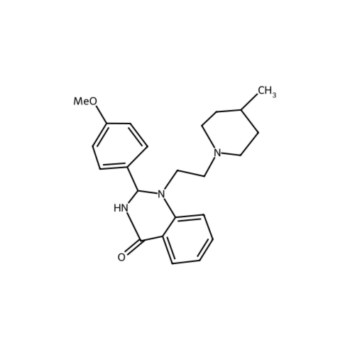 COc1ccc(C2NC(=O)c3ccccc3N2CCN2CCC(C)CC2)cc1